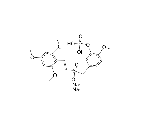 COc1cc(OC)c(C=CS(=O)(=O)Cc2ccc(OC)c(OP(=O)(O)O)c2)c(OC)c1.[Na].[Na]